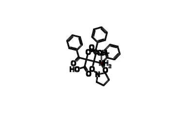 CC(N)[C@@H](OC(C(=O)O)(C(=O)c1ccccc1)C(ON1CCCC1)(C(=O)O)C(=O)c1ccccc1)c1ccccc1